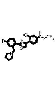 Fc1ccc(-c2nc(-c3ccc(NSC(F)(F)F)cc3Cl)cs2)c(CN2CCCC2)c1